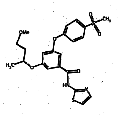 COCCC(C)Oc1cc(Oc2ccc(S(C)(=O)=O)cc2)cc(C(=O)Nc2nccs2)c1